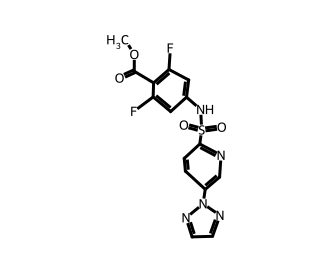 COC(=O)c1c(F)cc(NS(=O)(=O)c2ccc(-n3nccn3)cn2)cc1F